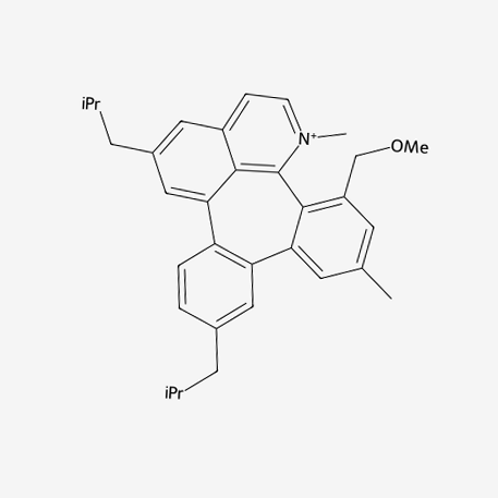 COCc1cc(C)cc2c1-c1c3c(cc(CC(C)C)cc3cc[n+]1C)-c1ccc(CC(C)C)cc1-2